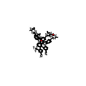 Cc1nc(C)nc(-c2ccc3c(c2)c2cc(-c4nc(C)nc(C)n4)ccc2n3-c2ccc(-c3ccc(C#N)cc3C(F)(F)F)c(-c3cc(C#N)ccc3-n3c4ccc(-c5nc(C)nc(C)n5)cc4c4cc(-c5nc(C)nc(C)n5)ccc43)c2)n1